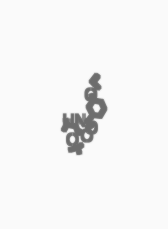 C=CCOC1CCCC(C(=O)N[C@H](C(=O)OC(C)(C)C)C(C)C)C1